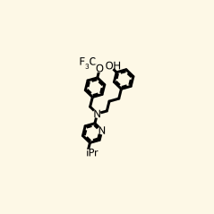 CC(C)c1ccc(N(CCCc2cccc(O)c2)Cc2ccc(OC(F)(F)F)cc2)nc1